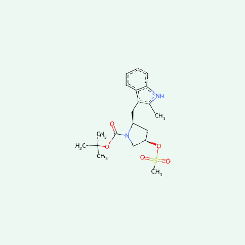 Cc1[nH]c2ccccc2c1C[C@H]1C[C@@H](OS(C)(=O)=O)CN1C(=O)OC(C)(C)C